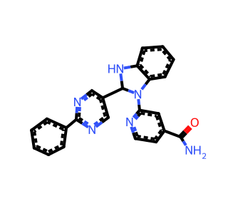 NC(=O)c1ccnc(N2c3ccccc3NC2c2cnc(-c3ccccc3)nc2)c1